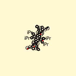 CC(C)c1ccc(Oc2cc3c4c(cc(Oc5ccc(C(C)C)cc5)c5c6c(Oc7ccc(C(C)C)cc7)cc7c8c(cc(Oc9ccc(C(C)C)cc9)c(c2c45)c86)C(=O)N(C(C(=O)N(CCOCC2CO2)CC2CCCCC2)c2ccc4c(c2)oc2ccccc24)C7=O)C(=O)N(C(C(=O)N(CCOCC2CO2)CC2CCCCC2)c2ccc4c(c2)oc2ccccc24)C3=O)cc1